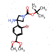 COC(OC)c1ccc(C2(N)CN(C(=O)OC(C)(C)C)C2)c(Br)c1